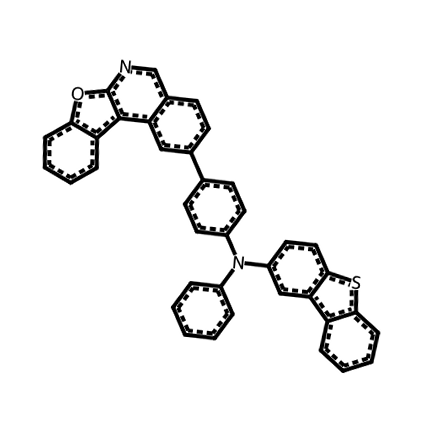 c1ccc(N(c2ccc(-c3ccc4cnc5oc6ccccc6c5c4c3)cc2)c2ccc3sc4ccccc4c3c2)cc1